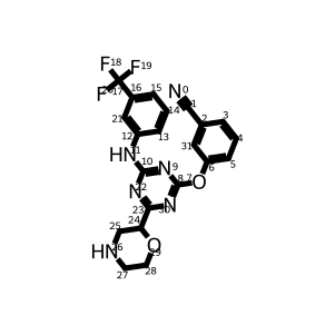 N#Cc1cccc(Oc2nc(Nc3cccc(C(F)(F)F)c3)nc(C3CNCCO3)n2)c1